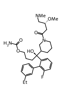 CCc1cccc(-c2c(F)cccc2[C@](O)(CCCOC(N)=O)C2CCCN(C(=O)C[C@H](CNC)OC)C2)c1